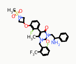 Cc1c(-c2cccc(OC3CN(S(C)(=O)=O)C3)c2F)c(=O)n(CC(N)c2ccccc2)c(=O)n1Cc1c(F)cccc1C(F)(F)F